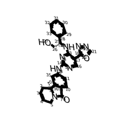 C[C@@]12CC=CCN1C(=O)c1ccc(Nc3ncc(-c4nnco4)c(N[C@H](CO)c4ccccc4)n3)cc12